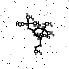 CCCN(C)CC(CC(C)(C)C)CC(C)(C)C